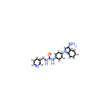 Nc1cn(-c2ccc(NC(=O)NCc3cccnc3)cc2)c2ccccc12